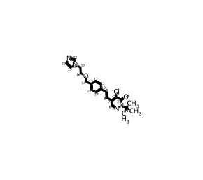 CC(C)(C)n1ncc(/C=C/c2ccc(COCCn3ccnc3)cc2)c(Cl)c1=O